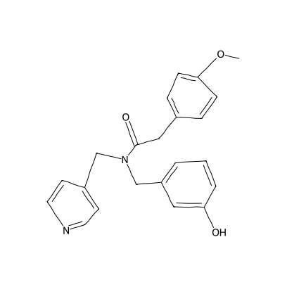 COc1ccc(CC(=O)N(Cc2ccncc2)Cc2cccc(O)c2)cc1